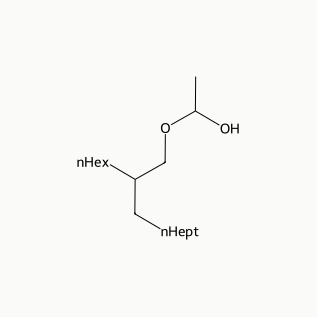 CCCCCCCCC(CCCCCC)COC(C)O